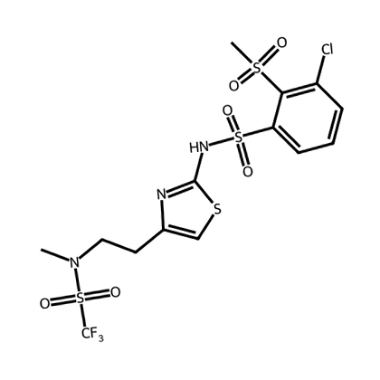 CN(CCc1csc(NS(=O)(=O)c2cccc(Cl)c2S(C)(=O)=O)n1)S(=O)(=O)C(F)(F)F